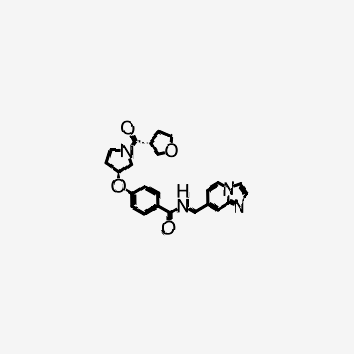 O=C(NCc1ccn2ccnc2c1)c1ccc(O[C@H]2CCN(C(=O)[C@@H]3CCOC3)C2)cc1